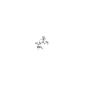 B.[BiH3].[SiH4].[TeH2]